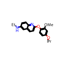 CCNc1ccc2nc(Oc3ccc(OC(C)C)cc3OC)ccc2c1